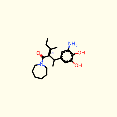 CC/C(C)=C(\C(=O)N1CCCCCC1)C(C)c1cc(N)c(O)c(O)c1